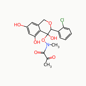 CC(=O)C(=O)N(C)OC1(O)c2c(O)cc(O)cc2COC1c1ccccc1Cl